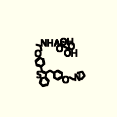 CC(=O)N[C@H](C)COc1ccc(-c2sc3ccccc3c2Cc2ccc(OCCN3CCCC3)cc2)cc1.O=C(O)C(=O)O